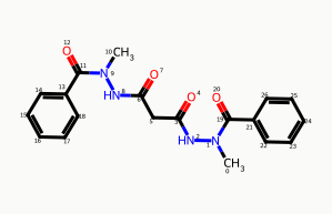 CN(NC(=O)CC(=O)NN(C)C(=O)c1ccccc1)C(=O)c1ccccc1